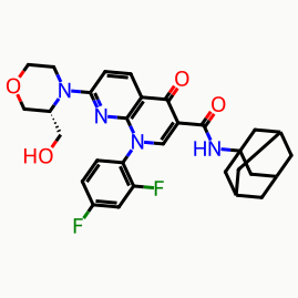 O=C(NC12CC3CC(CC(C3)C1)C2)c1cn(-c2ccc(F)cc2F)c2nc(N3CCOC[C@H]3CO)ccc2c1=O